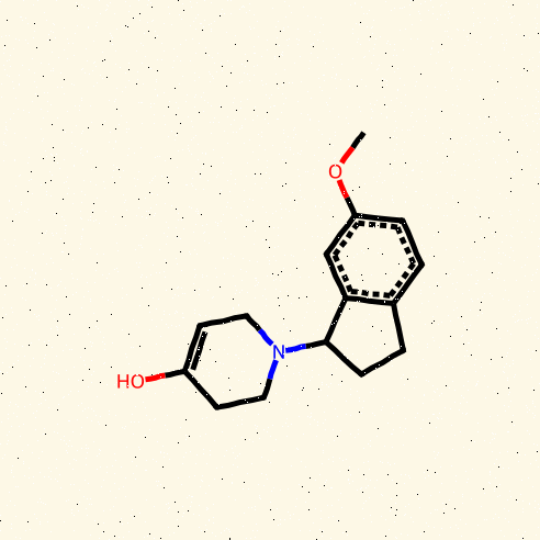 COc1ccc2c(c1)C(N1CC=C(O)CC1)CC2